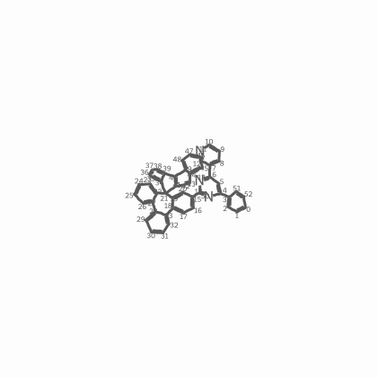 c1ccc(-c2cc(-c3cccnc3)nc(-c3ccc4c(c3)C3(c5ccccc5-c5ccccc5-4)c4ccccc4-c4c3ccc3ccccc43)n2)cc1